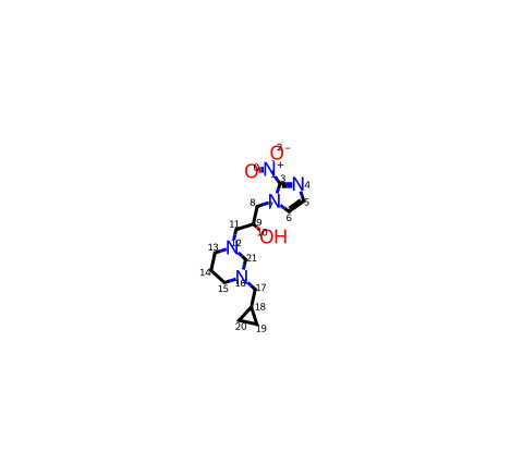 O=[N+]([O-])c1nccn1CC(O)CN1CCCN(CC2CC2)C1